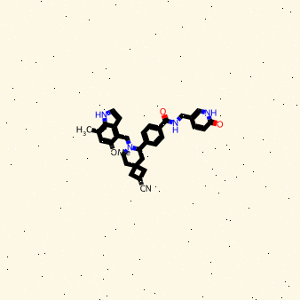 COc1cc(C)c2[nH]ccc2c1CN1CCC2(CC(C#N)C2)CC1c1ccc(C(=O)NCc2ccc(=O)[nH]c2)cc1